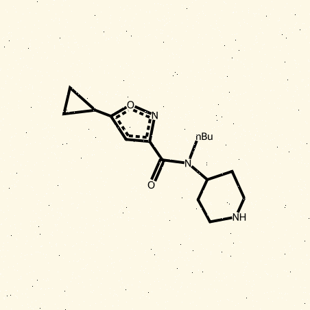 CCCCN(C(=O)c1cc(C2CC2)on1)C1CCNCC1